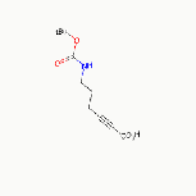 CC(C)(C)OC(=O)NCCCC#CC(=O)O